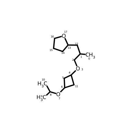 CC(COC1CC(OC(C)C)C1)CC1CCCO1